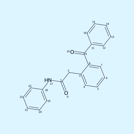 O=C(Cc1ccccc1C(=O)c1ccccc1)Nc1ccccc1